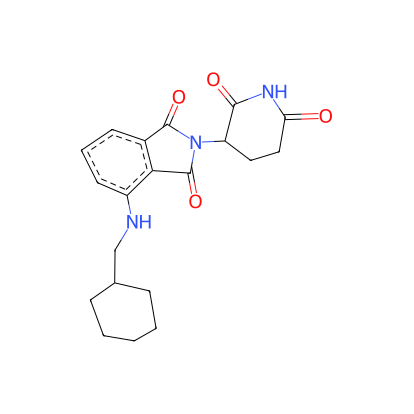 O=C1CCC(N2C(=O)c3cccc(NCC4CCCCC4)c3C2=O)C(=O)N1